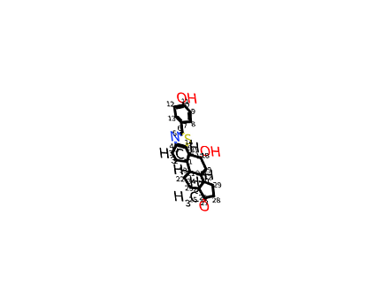 C[C@]12CCc3nc(-c4ccc(O)cc4)sc3[C@@H]1[C@@H](O)C[C@@H]1[C@@H]2CC[C@]2(C)C(=O)CC[C@@H]12